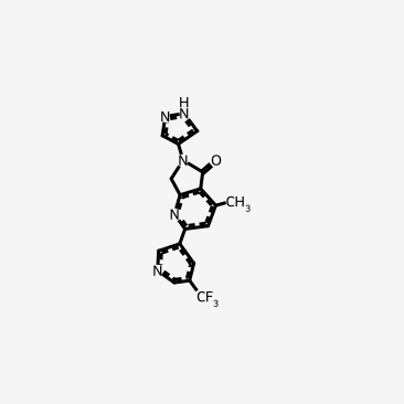 Cc1cc(-c2cncc(C(F)(F)F)c2)nc2c1C(=O)N(c1cn[nH]c1)C2